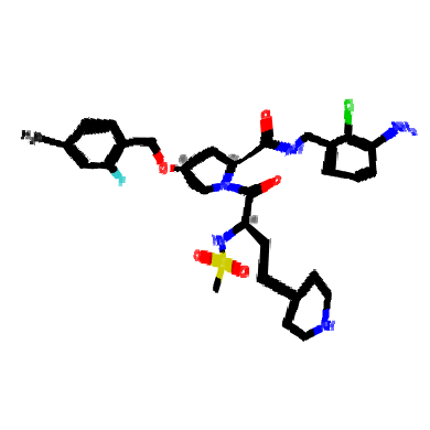 Bc1ccc(CO[C@@H]2C[C@@H](C(=O)NCc3cccc(N)c3Cl)N(C(=O)[C@@H](CCC3CCNCC3)NS(C)(=O)=O)C2)c(F)c1